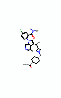 CNC(=O)[C@H]1CC[C@H](CN2CC([C@H](C)c3cn(-c4ccc(F)cc4C(=O)N(C)C(C)C)c4cncc(C)c34)C2)CC1